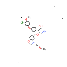 COCCCN1CCOc2ccc(COC3CNCC(O)C3c3ccc(Oc4ccc(OC)c(Cl)c4)cc3)cc21